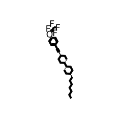 CCCCCCC[C@H]1CC[C@H]([C@H]2CC[C@H](C#Cc3ccc(OC(F)(F)C(F)F)cc3)CC2)CC1